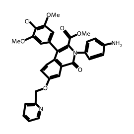 COC(=O)c1c(-c2cc(OC)c(Cl)c(OC)c2)c2ccc(OCc3ccccn3)cc2c(=O)n1-c1ccc(N)cc1